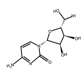 [2H]C(O)[C@H]1O[C@@H](n2ccc(N)nc2=O)[C@H](O)[C@@H]1O